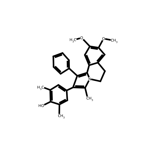 COc1cc2c(cc1OC)-c1c(-c3ccccc3)c(-c3cc(C)c(O)c(C)c3)c(C)n1CC2